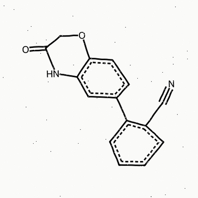 N#Cc1ccccc1-c1ccc2c(c1)NC(=O)CO2